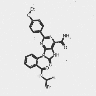 CCCC(CC)NC(=O)c1ccccc1-n1c(=O)[nH]c2c(C(N)=O)nc(-c3ccc(OCC)cc3)nc21